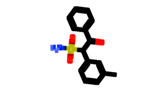 Cc1cccc(C(C(=O)c2ccccc2)S(N)(=O)=O)c1